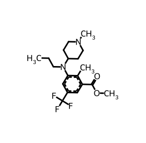 CCCN(c1cc(C(F)(F)F)cc(C(=O)OC)c1C)C1CCN(C)CC1